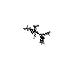 COCCNS(=O)(=O)c1ccc2c3c(ccc2c1)[N+](CCOC)=C(/C=C/C=C/C=C1/N(CCCCCC(=O)O)c2ccc4cc(S(=O)(=O)O)ccc4c2C1(C)C)C3(C)CCCS(=O)(=O)O